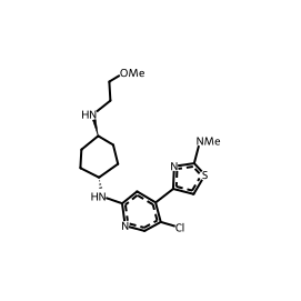 CNc1nc(-c2cc(N[C@H]3CC[C@H](NCCOC)CC3)ncc2Cl)cs1